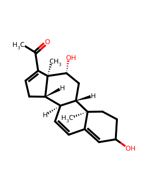 CC(=O)C1=CC[C@H]2[C@@H]3C=CC4=CC(O)CC[C@]4(C)[C@H]3C[C@@H](O)[C@]12C